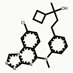 CN(c1cccc(CCC(C)(O)C2CCC2)c1)c1nc2nncn2c2cc(Cl)ccc12